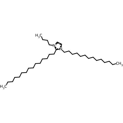 CCCCCCCCCCCCCCCc1n(CCCCCCCCCCCCCC)cc[n+]1CCCC